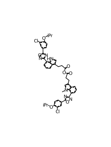 CC(C)Oc1ccc(-c2nc(-c3cccc4c(CCC(=O)OC(=O)CCc5cn(C)c6c(-c7noc(-c8ccc(OC(C)C)c(Cl)c8)n7)cccc56)c[nH]c34)no2)cc1Cl